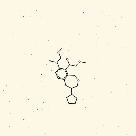 COCC(Cl)c1ccc2c(c1C(Cl)COC)COCC(C1CCCC1)C2